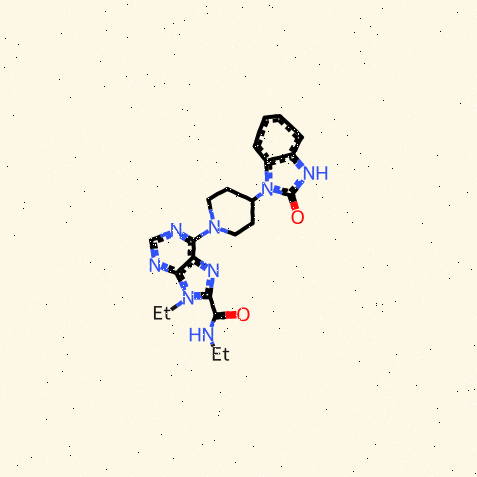 CCNC(=O)c1nc2c(N3CCC(n4c(=O)[nH]c5ccccc54)CC3)ncnc2n1CC